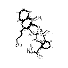 CCCCc1c(NC(=O)Nc2c(C(C)C)cccc2C(C)C)c(=O)n(C)c2ncccc12